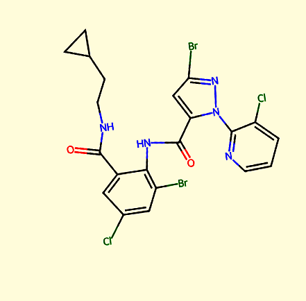 O=C(NCCC1CC1)c1cc(Cl)cc(Br)c1NC(=O)c1cc(Br)nn1-c1ncccc1Cl